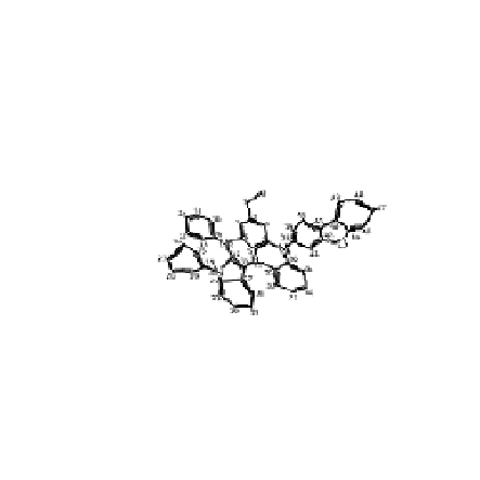 CCc1cc2c3c(c1)N(c1ccccc1)c1c(c4ccccc4n1-c1ccccc1)B3c1ccccc1N2c1ccc2c(c1)oc1ccccc12